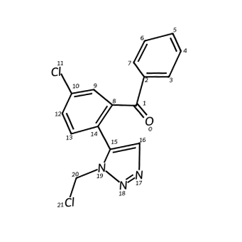 O=C(c1ccccc1)c1cc(Cl)ccc1-c1cnnn1CCl